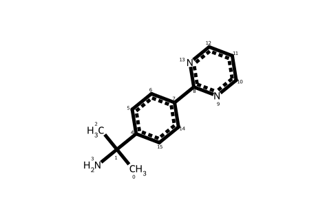 CC(C)(N)c1ccc(-c2ncccn2)cc1